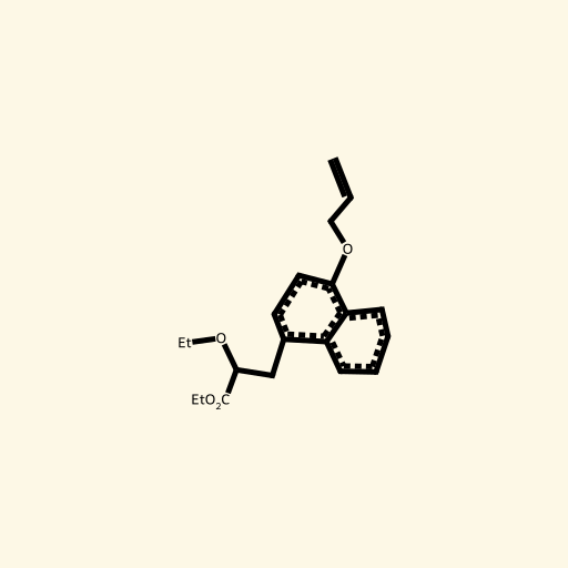 C=CCOc1ccc(CC(OCC)C(=O)OCC)c2ccccc12